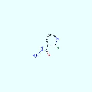 NNC(=O)c1cccnc1F